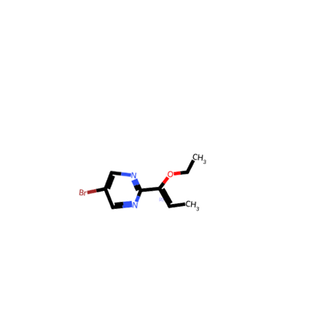 C/C=C(\OCC)c1ncc(Br)cn1